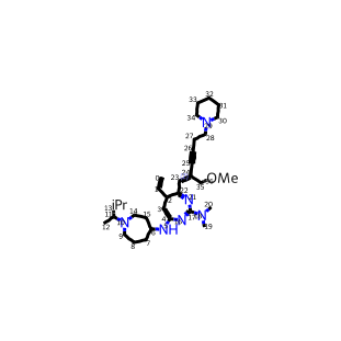 C=CC1C=C(NC2CCCN(C(C)C(C)C)CC2)N=C(N(C)C)N=C1/C=C(/C#CCCN1CCCCC1)COC